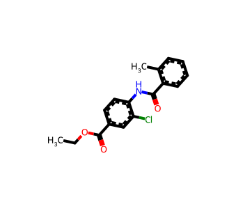 CCOC(=O)c1ccc(NC(=O)c2ccccc2C)c(Cl)c1